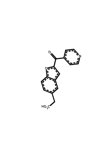 O=C(O)Cc1ccc2oc(C(=O)c3ccncc3)cc2c1